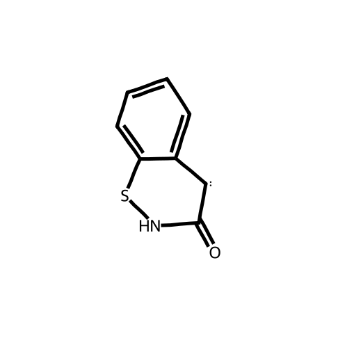 O=C1[C]c2ccccc2SN1